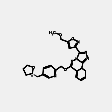 COCc1cc(-c2nnc3n2N=C(OCc2ccc(C[C@@H]4CCCO4)cn2)C2=CC=CCC23)no1